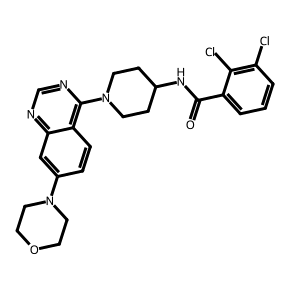 O=C(NC1CCN(c2ncnc3cc(N4CCOCC4)ccc23)CC1)c1cccc(Cl)c1Cl